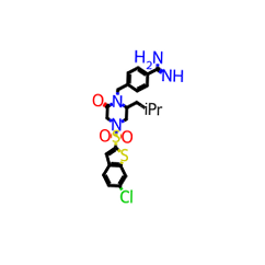 CC(C)CC1CN(S(=O)(=O)c2cc3ccc(Cl)cc3s2)CC(=O)N1Cc1ccc(C(=N)N)cc1